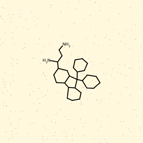 NCCC(N)C1CCC2C3CCCCC3C(C3CCCCC3)(C3CCCCC3)C2C1